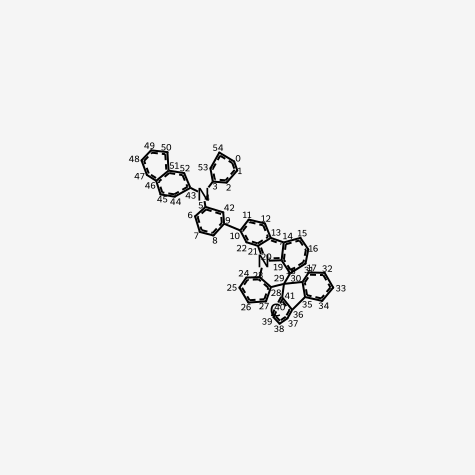 c1ccc(N(c2cccc(-c3ccc4c5cccc6c5n(c4c3)-c3ccccc3C63c4ccccc4-c4ccccc43)c2)c2ccc3ccccc3c2)cc1